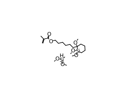 C=C(C)C(=O)OCCCCCCC1(OC)CCCC[Si]1(OC)OC.CO[SiH](C)OC